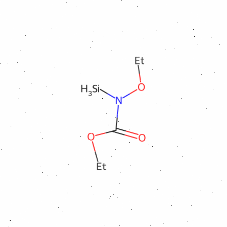 CCOC(=O)N([SiH3])OCC